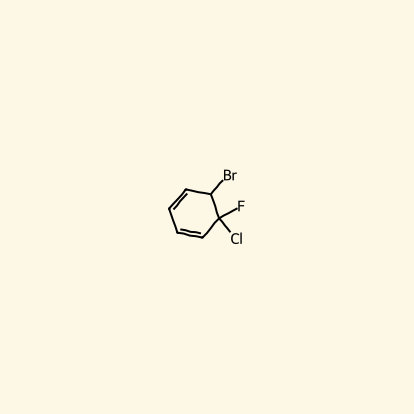 FC1(Cl)C=CC=CC1Br